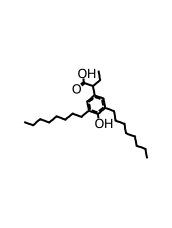 CCCCCCCCc1cc(C(CC)C(=O)O)cc(CCCCCCCC)c1O